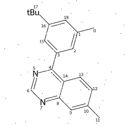 Cc1cc(-c2ncnc3cc(C)ccc23)cc(C(C)(C)C)c1